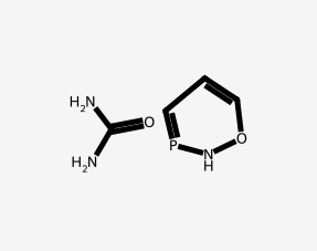 C1=CONP=C1.NC(N)=O